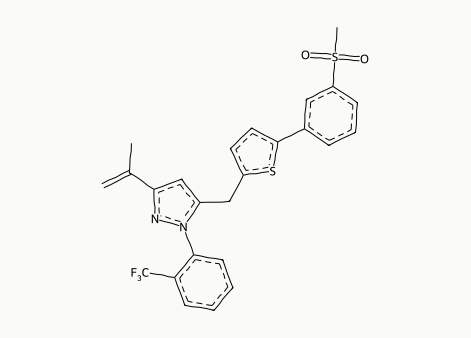 C=C(C)c1cc(Cc2ccc(-c3cccc(S(C)(=O)=O)c3)s2)n(-c2ccccc2C(F)(F)F)n1